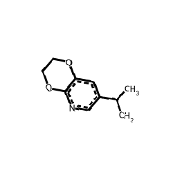 CC(C)c1cnc2c(c1)OCCO2